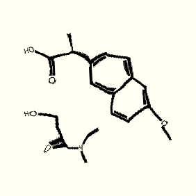 CN(C)C(=O)CO.COc1ccc2cc([C@H](C)C(=O)O)ccc2c1